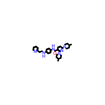 CC1CCN(c2ccc(C(=O)Nc3ccc(NCCc4ccccn4)cc3)c(N3CCC(C)CC3)n2)CC1